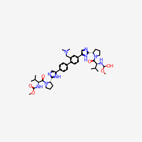 COC(=O)N[C@H](C(=O)N1CCC[C@H]1c1ncc(-c2ccc(-c3ccc(-c4cnc([C@@H]5CCCN5C(=O)[C@@H](NC(O)OC)C(C)C)[nH]4)cc3CN(C)C)cc2)[nH]1)C(C)C